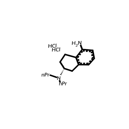 CCCN(CCC)[C@@H]1CCc2c(N)cccc2C1.Cl.Cl